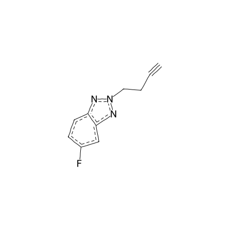 C#CCCn1nc2ccc(F)cc2n1